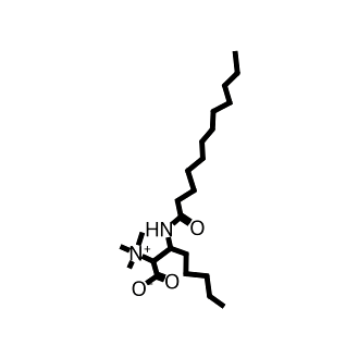 CCCCCCCCCCCC(=O)NC(CCCCC)C(C(=O)[O-])[N+](C)(C)C